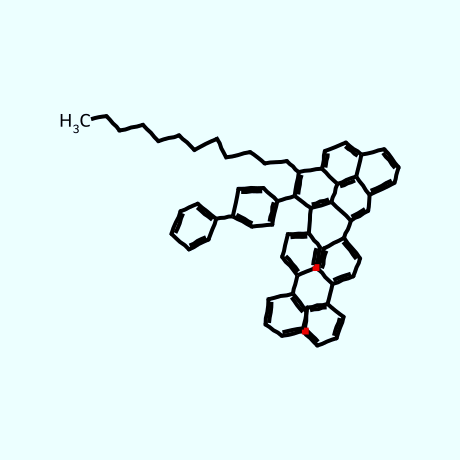 CCCCCCCCCCCCc1c(-c2ccc(-c3ccccc3)cc2)c(-c2ccc(-c3ccccc3)cc2)c2c(-c3ccc(-c4ccccc4)cc3)cc3cccc4ccc1c2c43